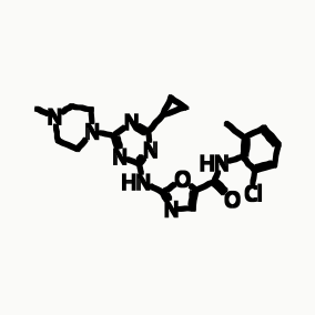 Cc1cccc(Cl)c1NC(=O)c1cnc(Nc2nc(C3CC3)nc(N3CCN(C)CC3)n2)o1